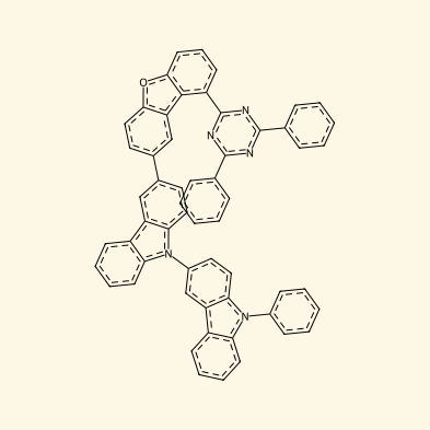 c1ccc(-c2nc(-c3ccccc3)nc(-c3cccc4oc5ccc(-c6ccc7c(c6)c6ccccc6n7-c6ccc7c(c6)c6ccccc6n7-c6ccccc6)cc5c34)n2)cc1